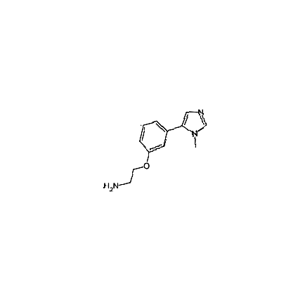 Cn1cncc1-c1c[c]cc(OCCN)c1